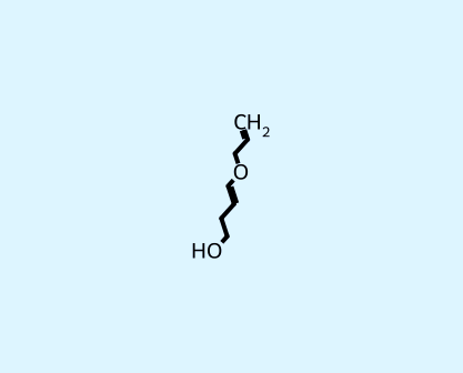 C=CCOC=CCCO